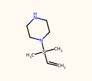 C=C[Si](C)(C)N1CCNCC1